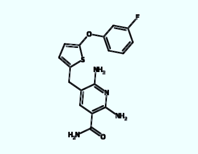 NC(=O)c1cc(Cc2ccc(Oc3cccc(F)c3)s2)c(N)nc1N